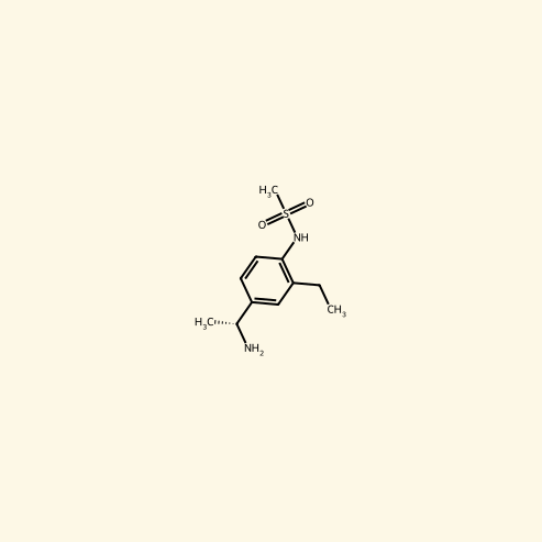 CCc1cc([C@@H](C)N)ccc1NS(C)(=O)=O